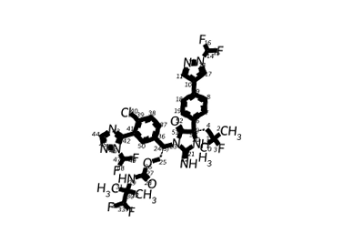 CC(C)(F)C[C@]1(c2ccc(-c3cnn(C(F)F)c3)cc2)NC(=N)N([C@H](COC(=O)NC(C)(C)C(F)F)c2ccc(Cl)c(-c3ncnn3C(F)F)c2)C1=O